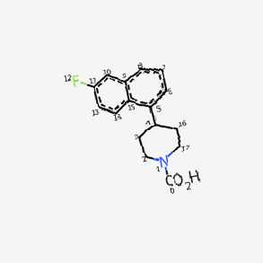 O=C(O)N1CCC(c2cccc3cc(F)ccc23)CC1